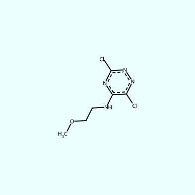 COCCNc1nc(Cl)nnc1Cl